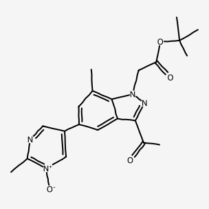 CC(=O)c1nn(CC(=O)OC(C)(C)C)c2c(C)cc(-c3cnc(C)[n+]([O-])c3)cc12